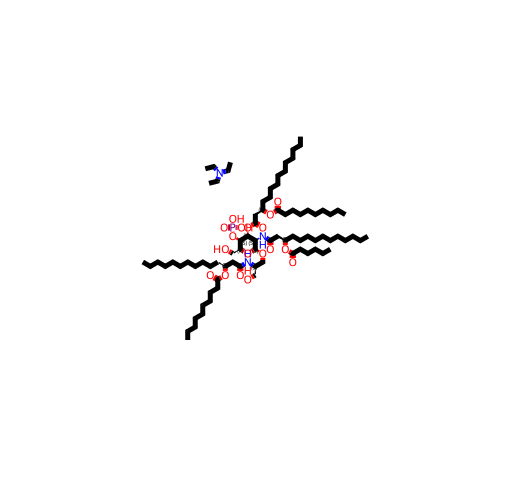 CCCCCCCCCCC[C@H](CC(=O)N[C@@H](CO)CO[C@H]1O[C@H](CO)[C@@H](OP(=O)(O)O)[C@H](OC(=O)C[C@@H](CCCCCCCCCCC)OC(=O)CCCCCCCCC)[C@@H]1NC(=O)C[C@@H](CCCCCCCCCCC)OC(=O)CCCCC)OC(=O)CCCCCCCCC.CCN(CC)CC